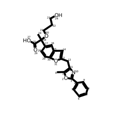 Cc1oc(-c2ccccc2)nc1Cc1cc2cc(C(C)(OCCCO)C(=O)O)ccc2o1